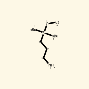 CCCC[Si](CCCC)(CCCN)OCC